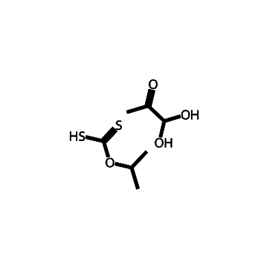 CC(=O)C(O)O.CC(C)OC(=S)S